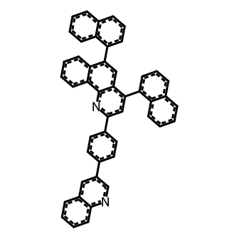 c1ccc2ncc(-c3ccc(-c4cc(-c5cccc6ccccc56)c5cc(-c6cccc7ccccc67)c6ccccc6c5n4)cc3)cc2c1